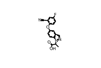 CC(C(=O)O)n1ncc2cc(Oc3ccc(F)cc3C#N)ccc21